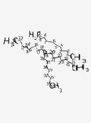 CCCCCCCCCCP.CCCCCCCCP(CCCCCCCC)CCCCCCCC